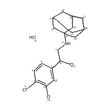 Cl.Clc1ccc(C(Cl)CNC23CC4CC(CC(C4)C2)C3)cc1Cl